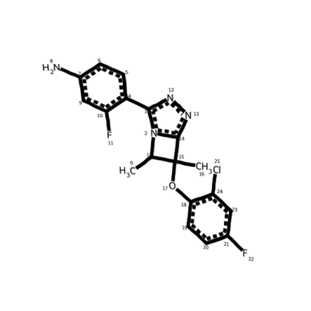 CC1n2c(-c3ccc(N)cc3F)nnc2C1(C)Oc1ccc(F)cc1Cl